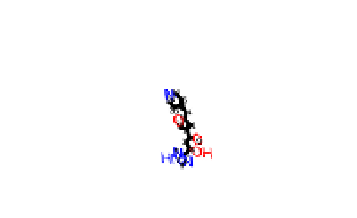 O=C(C=C(O)c1nc[nH]n1)c1coc(Cc2ccncc2)c1